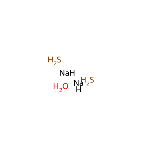 O.S.S.[NaH].[NaH]